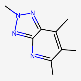 Cc1nc2nn(C)nc2c(C)c1C